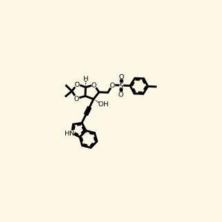 Cc1ccc(S(=O)(=O)OCC2O[C@@H]3OC(C)(C)OC3[C@]2(O)C#Cc2c[nH]c3ccccc23)cc1